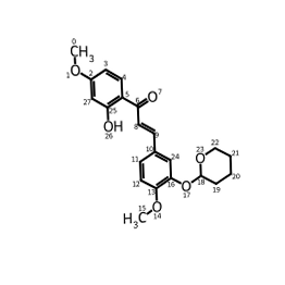 COc1ccc(C(=O)C=Cc2ccc(OC)c(OC3CCCCO3)c2)c(O)c1